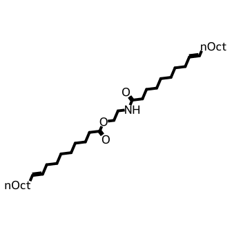 CCCCCCCCC=CCCCCCCCC(=O)NCCOC(=O)CCCCCCCC=CCCCCCCCC